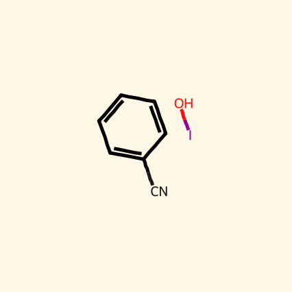 N#Cc1ccccc1.OI